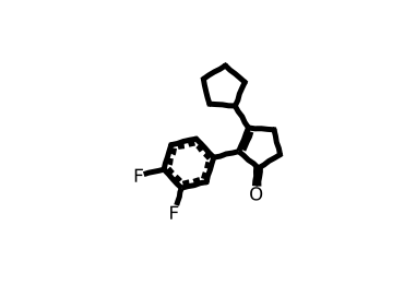 O=C1CCC(C2CCCC2)=C1c1ccc(F)c(F)c1